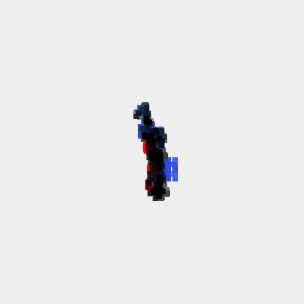 CN(C)CCCn1ncc2c(Oc3ccc(NC(=O)Nc4cc(C(C)(C)C)on4)cc3)ncnc21